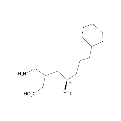 C[C@H](CCCC1CCCCC1)CC(CN)CC(=O)O